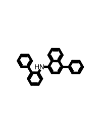 c1ccc(-c2ccccc2Nc2ccc(-c3ccccc3)c3ccccc23)cc1